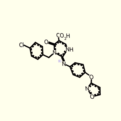 O=C(O)c1c[nH]/c(=N\c2ccc(Oc3ccon3)cc2)n(Cc2ccc(Cl)cc2)c1=O